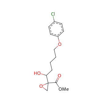 COC(=O)C1(C(O)CCCCOc2ccc(Cl)cc2)CO1